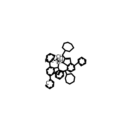 C[SiH](C)[Zr]([CH]1C(CC2CCCCCC2)=Cc2c(-c3ccccc3)ccc(-c3ccccc3)c21)[CH]1C(CC2CCCCCC2)=Cc2c(-c3ccccc3)ccc(-c3ccccc3)c21